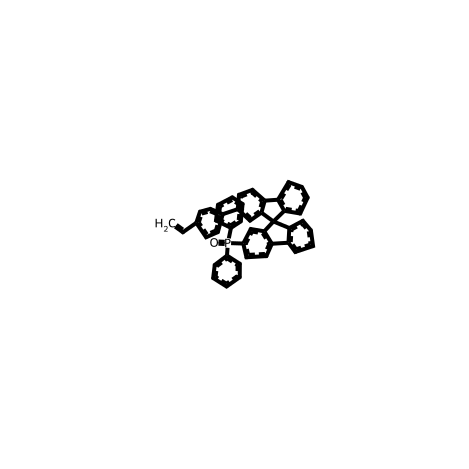 C=Cc1ccc(-c2ccc3c(c2)C2(c4ccccc4-3)c3ccccc3-c3ccc(P(=O)(c4ccccc4)c4ccccc4)cc32)cc1